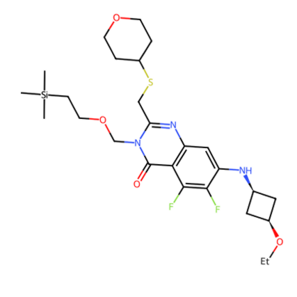 CCO[C@H]1C[C@@H](Nc2cc3nc(CSC4CCOCC4)n(COCC[Si](C)(C)C)c(=O)c3c(F)c2F)C1